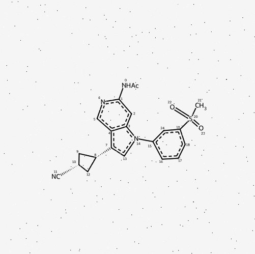 CC(=O)Nc1cc2c(cn1)c([C@H]1C[C@@H](C#N)C1)cn2-c1cccc(S(C)(=O)=O)c1